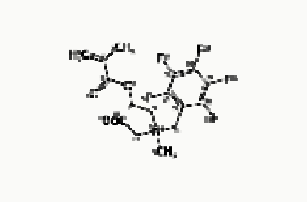 C=C(C)C(=O)OCC[N+](C)(CC(=O)[O-])Cc1c(F)c(F)c(F)c(F)c1F